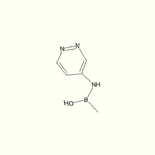 CB(O)Nc1ccnnc1